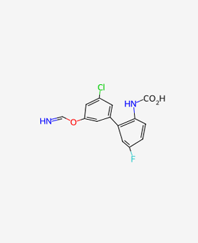 N=COc1cc(Cl)cc(-c2cc(F)ccc2NC(=O)O)c1